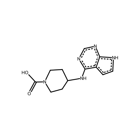 O=C(O)N1CCC(Nc2ncnc3[nH]ccc23)CC1